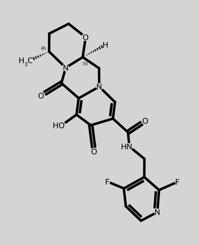 C[C@@H]1CCO[C@H]2Cn3cc(C(=O)NCc4c(F)ccnc4F)c(=O)c(O)c3C(=O)N12